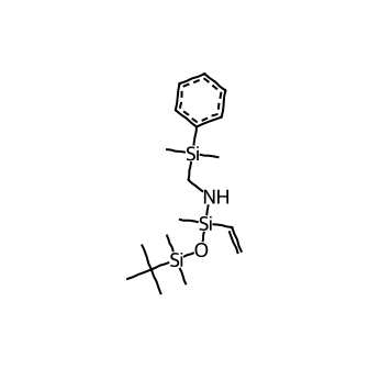 C=C[Si](C)(NC[Si](C)(C)c1ccccc1)O[Si](C)(C)C(C)(C)C